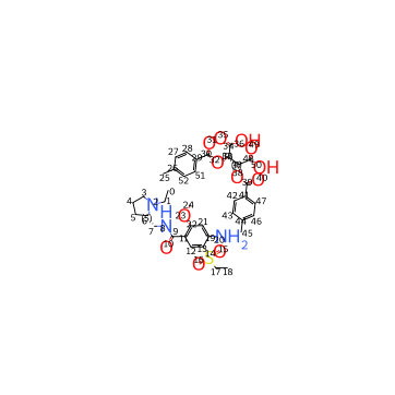 CCN1CCC[C@H]1CNC(=O)c1cc(S(=O)(=O)CC)c(N)cc1OC.Cc1ccc(C(=O)O[C@@H](C(=O)O)[C@@H](OC(=O)c2ccc(C)cc2)C(=O)O)cc1